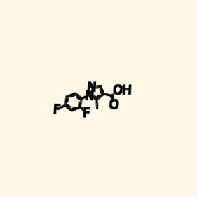 Cc1c(C(=O)O)cnn1-c1ccc(F)cc1F